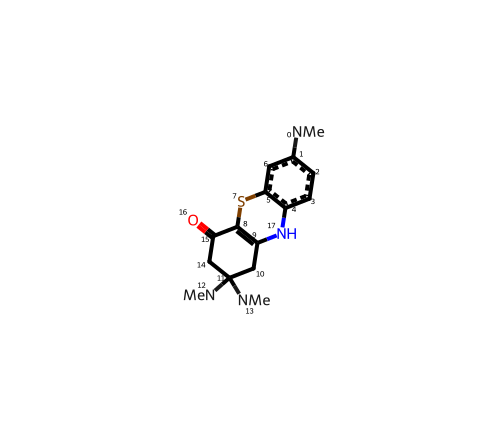 CNc1ccc2c(c1)SC1=C(CC(NC)(NC)CC1=O)N2